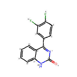 O=c1nc(-c2ccc(F)c(F)c2)c2ccccc2[nH]1